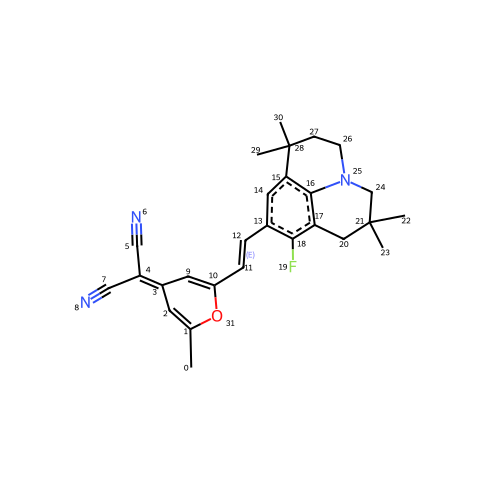 CC1=CC(=C(C#N)C#N)C=C(/C=C/c2cc3c4c(c2F)CC(C)(C)CN4CCC3(C)C)O1